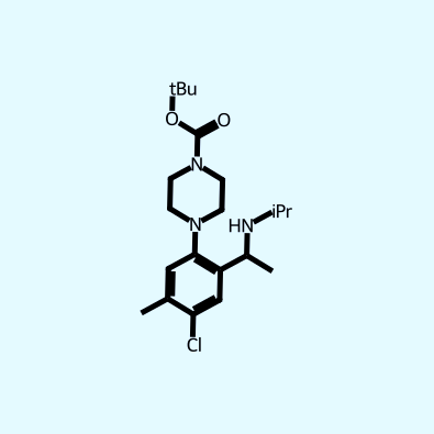 Cc1cc(N2CCN(C(=O)OC(C)(C)C)CC2)c(C(C)NC(C)C)cc1Cl